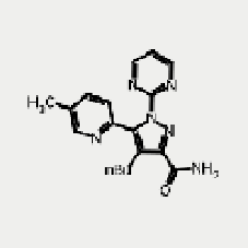 CCCCc1c(C(N)=O)nn(-c2ncccn2)c1-c1ccc(C)cn1